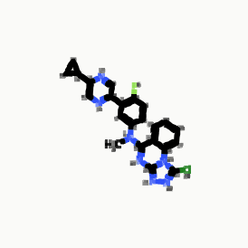 CN(c1ccc(F)c(-c2cnc(C3CC3)cn2)c1)c1nc2nnc(Cl)n2c2ccccc12